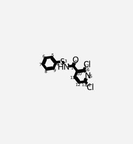 O=C(NSc1ccccc1)c1ccc(Cl)nc1Cl